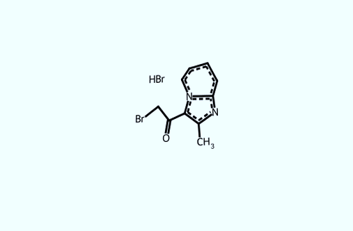 Br.Cc1nc2ccccn2c1C(=O)CBr